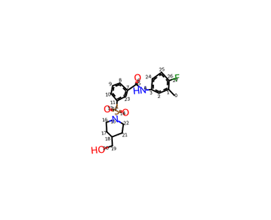 Cc1cc(NC(=O)c2cccc(S(=O)(=O)N3CCC(CO)CC3)c2)ccc1F